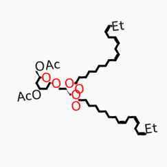 CC/C=C\C/C=C\C/C=C\CCCCCCCC(=O)OC[C@H](CO[C@H]1C[C@@H](OC(C)=O)C[C@@H](COC(C)=O)O1)OC(=O)CCCCCCC/C=C\C/C=C\C/C=C\CC